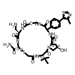 Cc1ncsc1-c1ccc(C2NC(=O)[C@@H]3C[C@@H](O)CN3C(=O)[C@H](C(C)(C)C)NC(=O)CSC[C@H](C(N)=O)NC(=O)[C@@H](CN)NC(=O)CCNC2=O)cc1